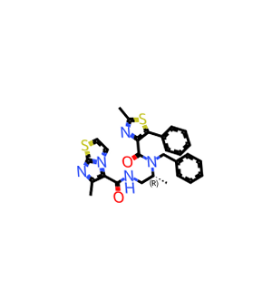 Cc1nc(C(=O)N(Cc2ccccc2)[C@H](C)CNC(=O)c2c(C)nc3sccn23)c(-c2ccccc2)s1